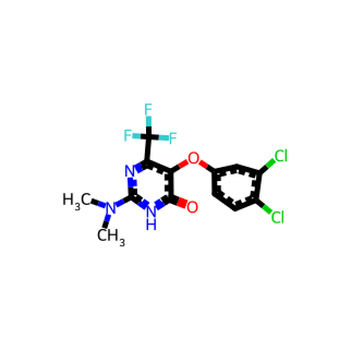 CN(C)c1nc(C(F)(F)F)c(Oc2ccc(Cl)c(Cl)c2)c(=O)[nH]1